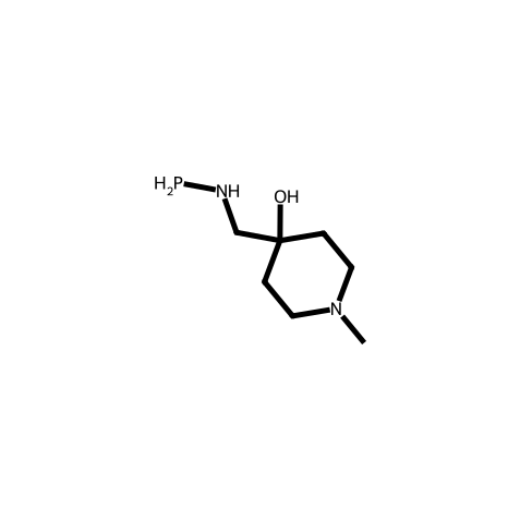 CN1CCC(O)(CNP)CC1